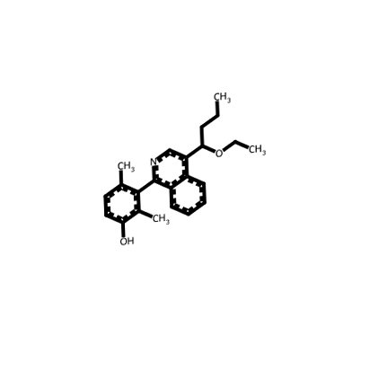 CCCC(OCC)c1cnc(-c2c(C)ccc(O)c2C)c2ccccc12